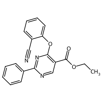 CCOC(=O)c1cnc(-c2ccccc2)nc1Oc1ccccc1C#N